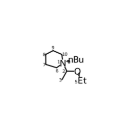 CCCC[N+]1(C(C)OCC)CCCCC1